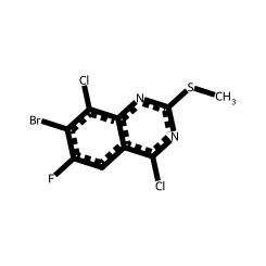 CSc1nc(Cl)c2cc(F)c(Br)c(Cl)c2n1